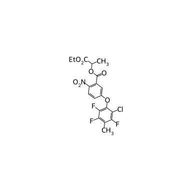 CCOC(=O)C(C)OC(=O)c1cc(Oc2c(F)c(F)c(C)c(F)c2Cl)ccc1[N+](=O)[O-]